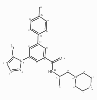 CCc1nnnn1-c1cc(C(=O)N[C@H](C)CN2CCOCC2)cc(-c2ccc(C)cc2)c1